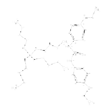 CCCCC[N+](CCCCC)(CCCCC)CCCCC.CCOc1ccc(NC(=S)Nc2ccc(OCC)cc2)cc1